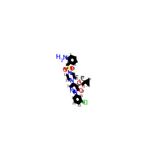 Nc1ccccc1CS(=O)(=O)N1CCN(c2cnn(-c3cccc(Cl)c3)c(=O)c2OCC2(C(F)(F)F)CC2)CC1